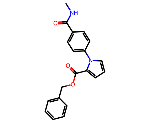 CNC(=O)c1ccc(-n2cccc2C(=O)OCc2ccccc2)cc1